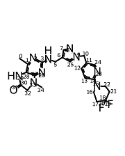 Cc1nc(NCc2cnn(Cc3ccc(N4CCC(F)(F)CC4)nc3)c2)nc2c1NC(=O)CN2C